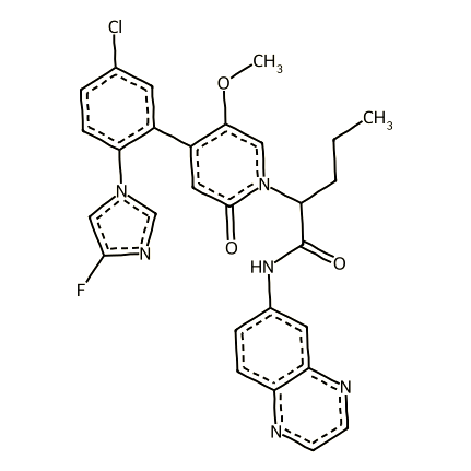 CCCC(C(=O)Nc1ccc2nccnc2c1)n1cc(OC)c(-c2cc(Cl)ccc2-n2cnc(F)c2)cc1=O